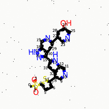 CS(=O)(=O)c1ccc(-c2cncc3[nH]c(-c4n[nH]c5cnc(-c6cncc(O)c6)cc45)cc23)s1